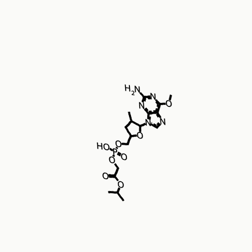 COc1nc(N)nc2c1ncn2C1OC(COP(=O)(O)OCC(=O)OC(C)C)CC1C